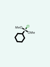 CO[Si](Cl)(OC)C1CCCCC1